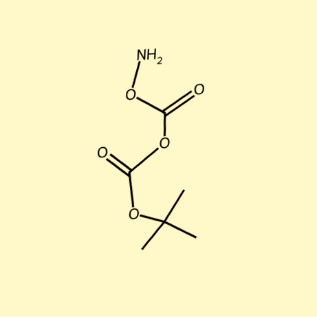 CC(C)(C)OC(=O)OC(=O)ON